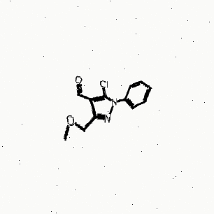 COCc1nn(-c2ccccc2)c(Cl)c1C=O